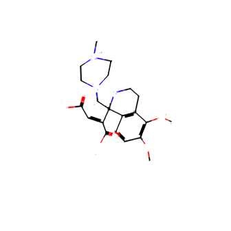 COc1ccc2c(c1OC)CCNC2(CN1CCN(C)CC1)/C(=C\C(=O)O)C(=O)O